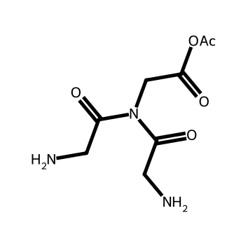 CC(=O)OC(=O)CN(C(=O)CN)C(=O)CN